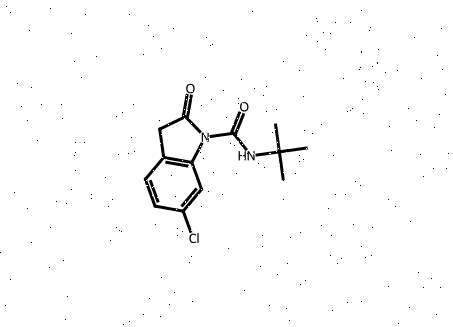 CC(C)(C)NC(=O)N1C(=O)Cc2ccc(Cl)cc21